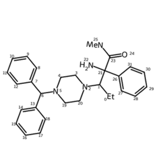 CCC(N1CCN(C(c2ccccc2)c2ccccc2)CC1)C(N)(C(=O)NC)c1ccccc1